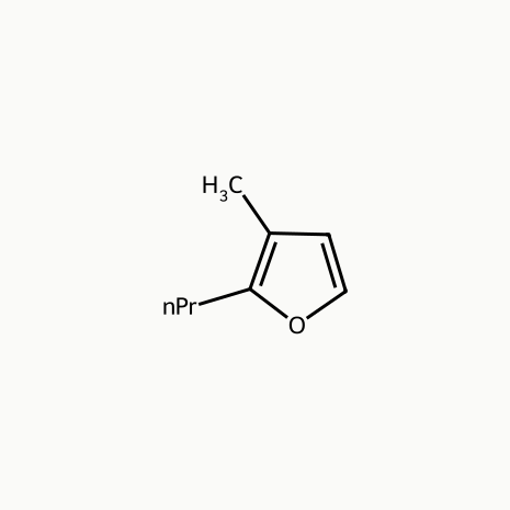 [CH2]CCc1occc1C